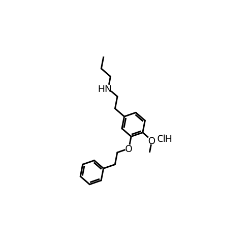 CCCNCCc1ccc(OC)c(OCCc2ccccc2)c1.Cl